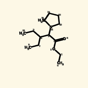 CCOC(=O)C(C(CC)CC)N1CCC[SiH2]1